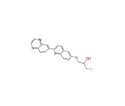 OC(CF)COc1ccc2nc(-c3ccc4nccnc4c3)ccc2c1